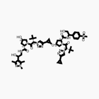 Cc1nn(C)c(C)c1C(O)CNC(=O)[C@@H]1C[C@@H](O)CN1C(=O)[C@@H](n1cc(C2CC2O[C@@H]2C[C@@H](C(=O)NC(CO)c3ccc(S(C)(=O)=O)cc3)N(C(=O)[C@@H](n3cc(C4CC4)nn3)C(C)(C)C)C2)nn1)C(C)(C)C